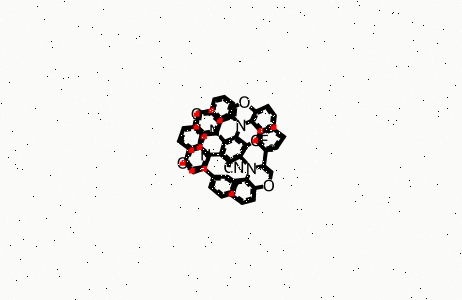 N#Cc1c(N2C(c3ccccc3)=COc3ccccc32)c(N2C(c3ccccc3)=COc3ccccc32)c(N2C(c3ccccc3)=COc3ccccc32)c(C(F)(F)F)c1N1C(c2ccccc2)=COc2ccccc21